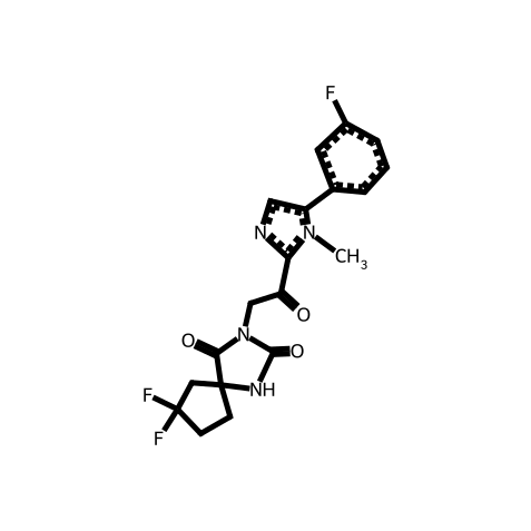 Cn1c(-c2cccc(F)c2)cnc1C(=O)CN1C(=O)NC2(CCC(F)(F)C2)C1=O